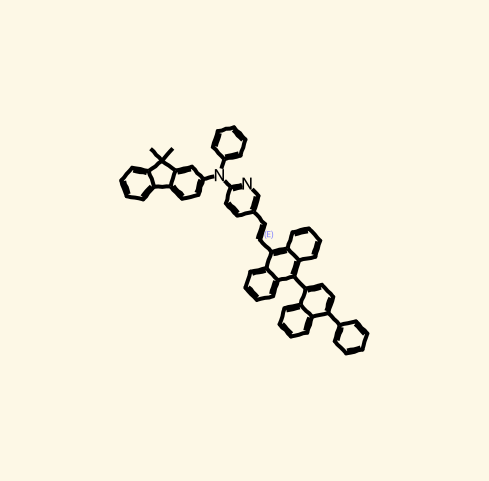 CC1(C)c2ccccc2-c2ccc(N(c3ccccc3)c3ccc(/C=C/c4c5ccccc5c(-c5ccc(-c6ccccc6)c6ccccc56)c5ccccc45)cn3)cc21